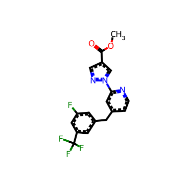 COC(=O)c1cnn(-c2cc(Cc3cc(F)cc(C(F)(F)F)c3)ccn2)c1